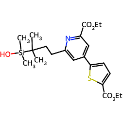 CCOC(=O)c1cc(-c2ccc(C(=O)OCC)s2)cc(CCC(C)(C)[Si](C)(C)O)n1